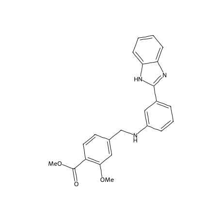 COC(=O)c1ccc(CNc2cccc(-c3nc4ccccc4[nH]3)c2)cc1OC